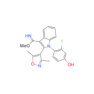 COC(=N)c1c(-c2c(C)noc2C)n(-c2ccc(O)cc2F)c2ccccc12